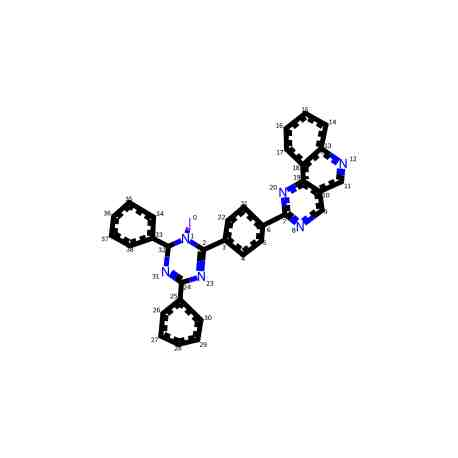 IN1C(c2ccc(-c3ncc4cnc5ccccc5c4n3)cc2)=NC(c2ccccc2)=NC1c1ccccc1